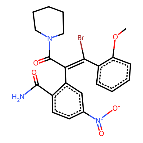 COc1ccccc1/C(Br)=C(/C(=O)N1CCCCC1)c1cc([N+](=O)[O-])ccc1C(N)=O